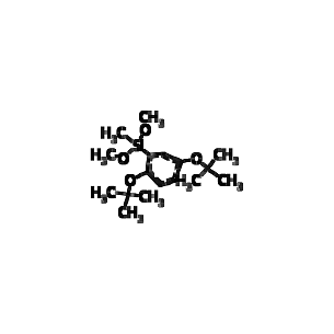 CO[Si](C)(OC)c1cc(OC(C)(C)C)ccc1OC(C)(C)C